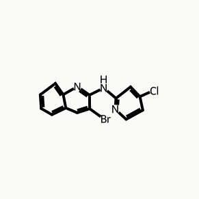 Clc1ccnc(Nc2nc3ccccc3cc2Br)c1